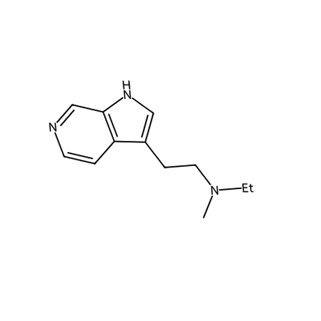 CCN(C)CCc1c[nH]c2cnccc12